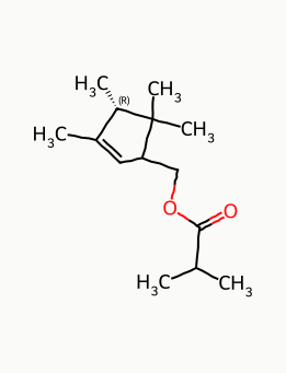 CC1=CC(COC(=O)C(C)C)C(C)(C)[C@H]1C